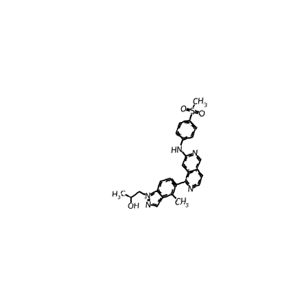 Cc1c(-c2nccc3cnc(Nc4ccc(S(C)(=O)=O)cc4)cc23)ccc2c1cnn2CC(C)O